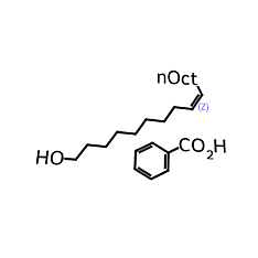 CCCCCCCC/C=C\CCCCCCCCO.O=C(O)c1ccccc1